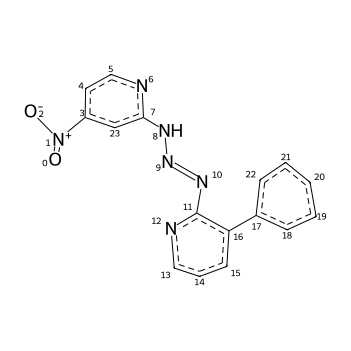 O=[N+]([O-])c1ccnc(NN=Nc2ncccc2-c2ccccc2)c1